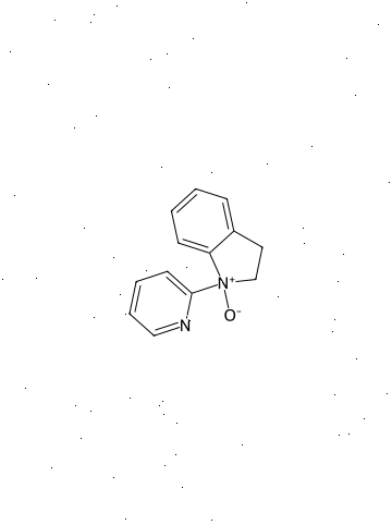 [O-][N+]1(c2ccccn2)CCc2ccccc21